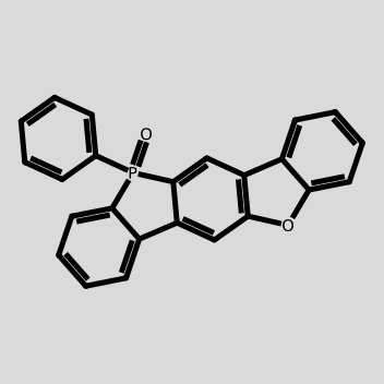 O=P1(c2ccccc2)c2ccccc2-c2cc3oc4ccccc4c3cc21